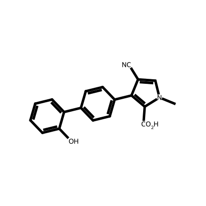 Cn1cc(C#N)c(-c2ccc(-c3ccccc3O)cc2)c1C(=O)O